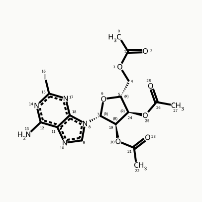 CC(=O)OC[C@H]1O[C@@H](n2cnc3c(N)nc(I)nc32)[C@H](OC(C)=O)[C@@H]1OC(C)=O